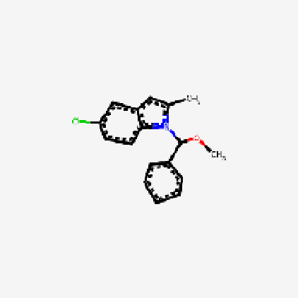 COC(c1ccccc1)n1c(C)cc2cc(Cl)ccc21